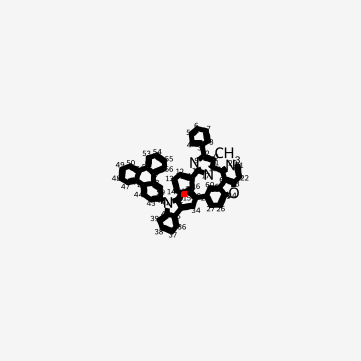 Cc1c(-c2ccccc2)nc(-c2ccccc2)nc1-c1nccc2oc3ccc(-c4ccc5c(c4)c4ccccc4n5-c4ccc5c6ccccc6c6ccccc6c5c4)cc3c12